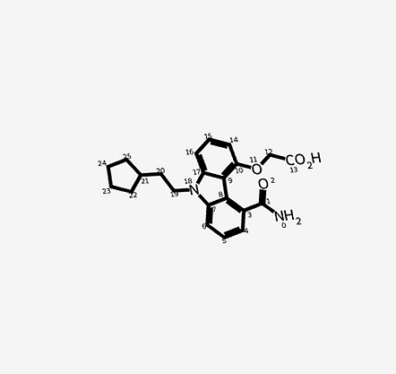 NC(=O)c1cccc2c1c1c(OCC(=O)O)cccc1n2CCC1CCCC1